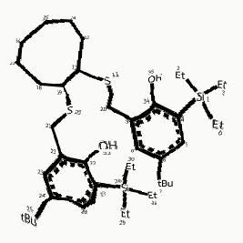 CC[Si](CC)(CC)c1cc(C(C)(C)C)cc(CSC2CCCCCC[C@@H]2SCc2cc(C(C)(C)C)cc([Si](CC)(CC)CC)c2O)c1O